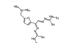 CCCCN(CCCC)Cc1ccc(C(/C=N/N=C(\S)NCC)=N\N=C(/S)NCC)o1